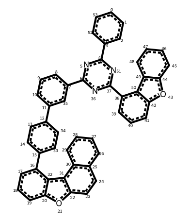 c1ccc(-c2nc(-c3cccc(-c4ccc(-c5cccc6oc7ccc8ccccc8c7c56)cc4)c3)nc(-c3cccc4oc5ccccc5c34)n2)cc1